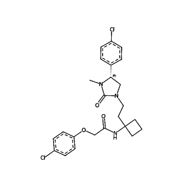 CN1C(=O)N(CCC2(NC(=O)COc3ccc(Cl)cc3)CCC2)C[C@H]1c1ccc(Cl)cc1